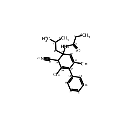 CCC(=O)NC1(CC(C)C)C=C(Cl)C(c2ccccc2)=C(Cl)C1C#N